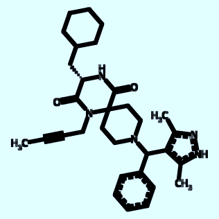 CC#CCN1C(=O)[C@H](CC2CCCCC2)NC(=O)C12CCN(C(c1ccccc1)c1c(C)n[nH]c1C)CC2